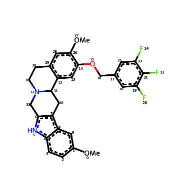 COc1ccc2[nH]c3c(c2c1)CC1c2cc(OCc4cc(F)c(F)c(F)c4)c(OC)cc2CCN1C3